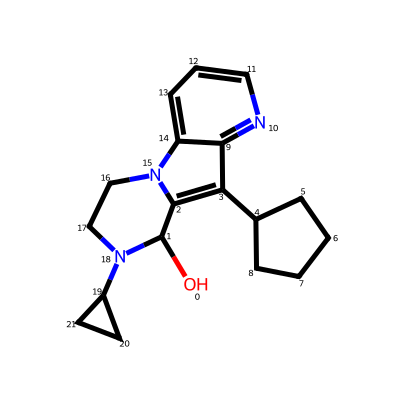 OC1c2c(C3CCCC3)c3ncccc3n2CCN1C1CC1